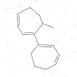 CC1CCC=CC=C1C1=CC=CCCC1